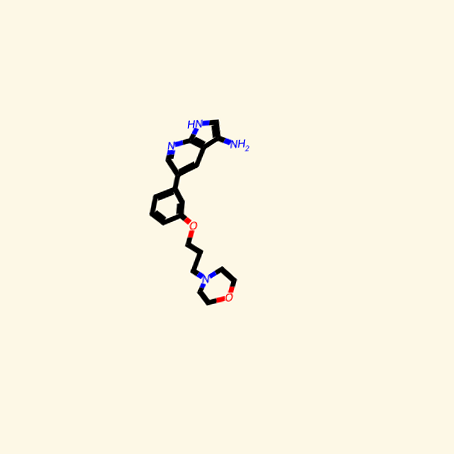 Nc1c[nH]c2ncc(-c3cccc(OCCCN4CCOCC4)c3)cc12